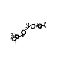 O=C(COC1CCC(Nc2ccc([N+](=O)[O-])c(C(F)F)c2)CC1)N1CCN(c2ccc(C(F)F)cn2)CC1